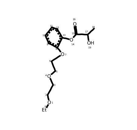 CCOCCOCCOc1ccccc1OC(=O)C(C)O